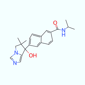 CC(C)NC(=O)c1ccc2cc(C3(O)c4cncn4CC3(C)C)ccc2c1